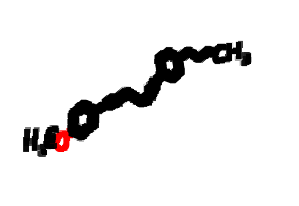 CCCCc1ccc(C#C/C=C/C#Cc2ccc(OC)cc2)cc1